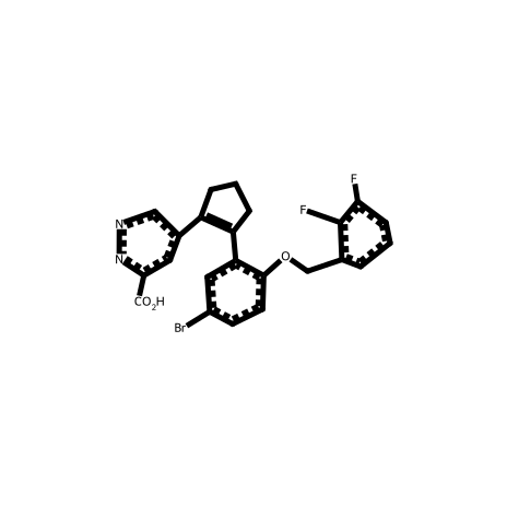 O=C(O)c1cc(C2=C(c3cc(Br)ccc3OCc3cccc(F)c3F)CCC2)cnn1